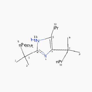 CCCCCC(C)(C)c1nc(C(C)(C)CCC)c(C(C)C)[nH]1